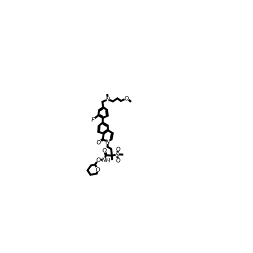 COCCCN(C)Cc1ccc(-c2ccc3c(=O)n(CCC(C)(C(=O)NOC4CCCCO4)S(C)(=O)=O)ccc3c2)c(F)c1